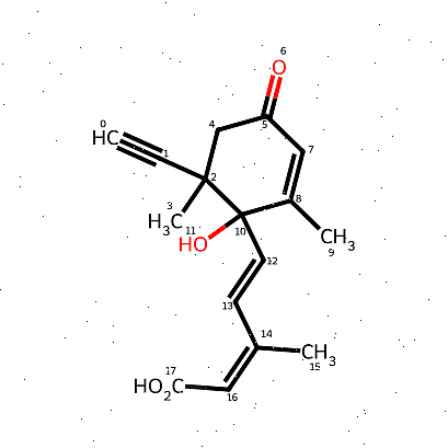 C#CC1(C)CC(=O)C=C(C)C1(O)/C=C/C(C)=C\C(=O)O